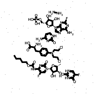 CCCCCOC(=O)Nc1nc(=O)n([C@@H]2O[C@H](C)[C@@H](O)[C@H]2O)cc1F.NN.N[C@@H](Cc1ccc(N(CCCl)CCCl)cc1)C(=O)O.Nc1cc[nH]c(=O)n1.Nc1nc(F)nc2c1ncn2[C@@H]1O[C@H](COP(=O)(O)O)[C@@H](O)[C@@H]1O.O=c1[nH]cc(F)c(=O)[nH]1